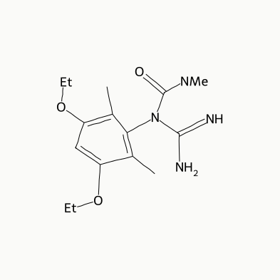 CCOc1cc(OCC)c(C)c(N(C(=N)N)C(=O)NC)c1C